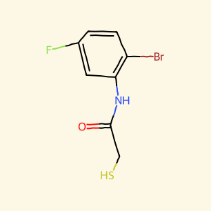 O=C(CS)Nc1cc(F)ccc1Br